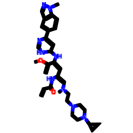 C=CC(=O)NC(=C\N(C)CCN1CCN(C2CC2)CC1)/C=C(/NC1C=C(c2ccc3c(cnn3C)c2)N=CN1)C(=C)OC